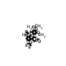 COc1ccc(Cn2c(=O)[nH]c3ccc(OC(CF)CF)c(C4CCN(C=O)CC4)c3c2=O)cc1OC(C)C